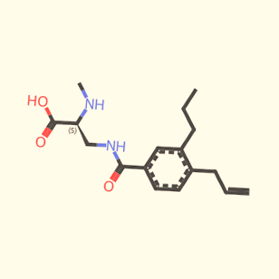 C=CCc1ccc(C(=O)NC[C@H](NC)C(=O)O)cc1CCC